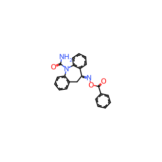 NC(=O)N1c2ccccc2C/C(=N\OC(=O)c2ccccc2)c2ccccc21